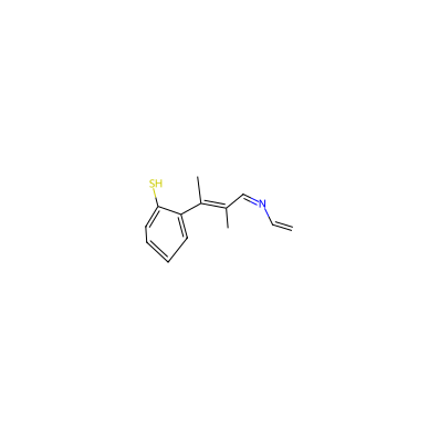 C=C/N=C\C(C)=C(/C)c1ccccc1S